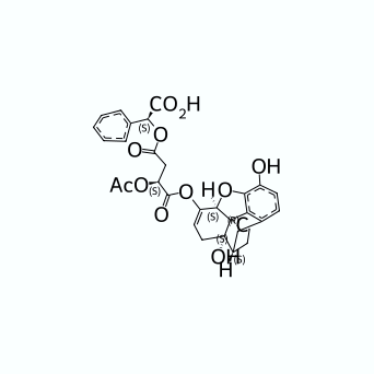 CC(=O)O[C@@H](CC(=O)O[C@H](C(=O)O)c1ccccc1)C(=O)OC1=CC[C@]2(O)[C@H]3CCC[C@]24c2c(ccc(O)c2O[C@H]14)C3